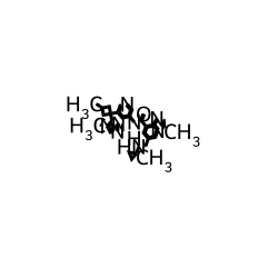 Cc1cnc2c(C(=O)Nc3cncc(C4(c5nncn5C)CC(C)C4)c3)cc(CNC3(C)CC3)cn12